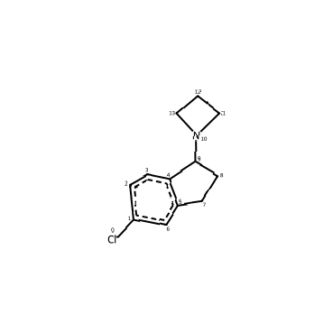 Clc1ccc2c(c1)CCC2N1CCC1